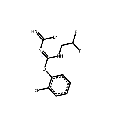 N=C(Br)/N=C(\NCC(F)F)Oc1ccccc1Cl